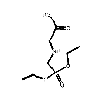 CCOP(=O)(CNCC(=O)O)OCC